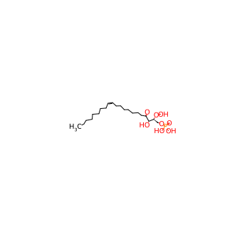 CCCCCCCC/C=C\CCCCCCCC(=O)C(O)[C@H](COP(=O)(O)O)OO